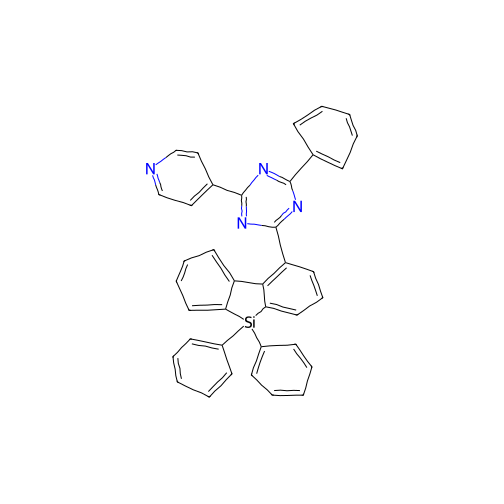 c1ccc(-c2nc(-c3ccncc3)nc(-c3cccc4c3-c3ccccc3[Si]4(c3ccccc3)c3ccccc3)n2)cc1